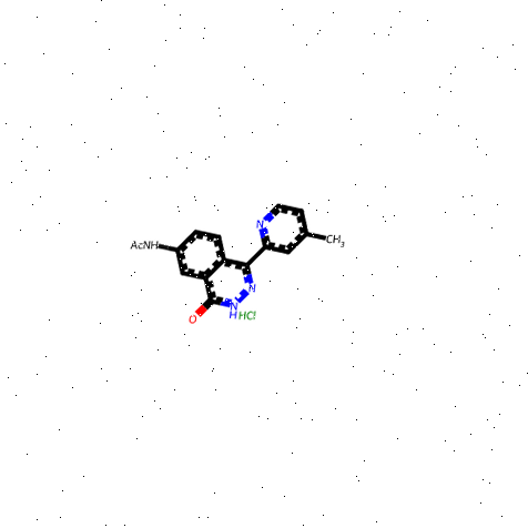 CC(=O)Nc1ccc2c(-c3cc(C)ccn3)n[nH]c(=O)c2c1.Cl